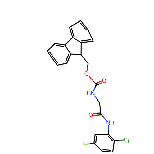 O=C(CNC(=O)OCC1c2ccccc2-c2ccccc21)Nc1cc(F)ccc1Cl